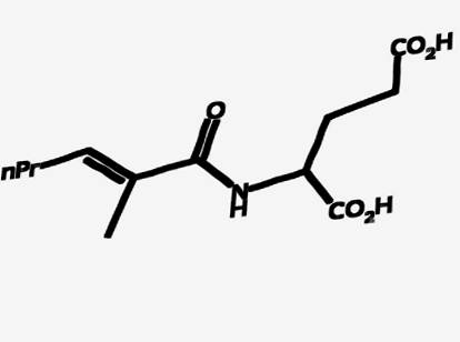 CCC/C=C(\C)C(=O)NC(CCC(=O)O)C(=O)O